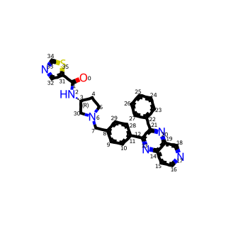 O=C(N[C@@H]1CCN(Cc2ccc(-c3nc4ccncc4nc3-c3ccccc3)cc2)C1)c1cncs1